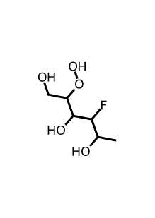 CC(O)C(F)C(O)C(CO)OO